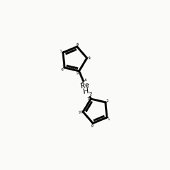 C1=CC[C]([ReH2][C]2=CC=CC2)=C1